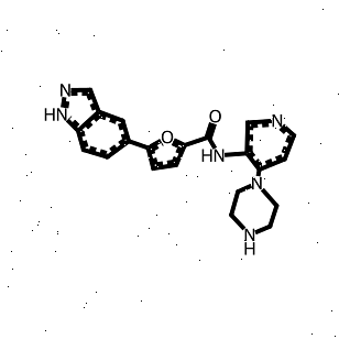 O=C(Nc1cnccc1N1CCNCC1)c1ccc(-c2ccc3[nH]ncc3c2)o1